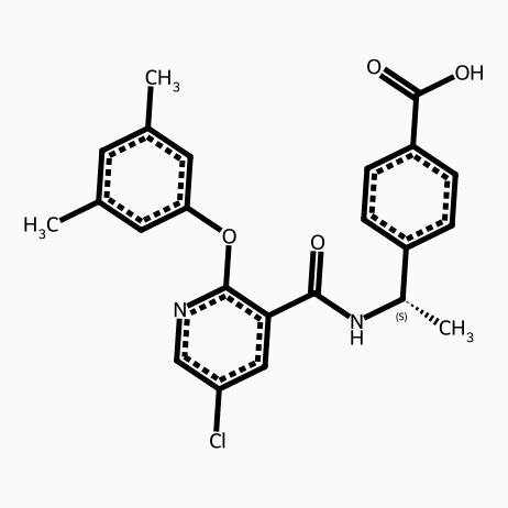 Cc1cc(C)cc(Oc2ncc(Cl)cc2C(=O)N[C@@H](C)c2ccc(C(=O)O)cc2)c1